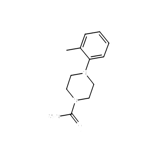 CNC(=O)N1CCN(c2ccccc2C)CC1